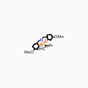 COc1ccc(CN(Cc2ccc(OC)cc2)S(=O)(=O)[C@H](C=O)C(C)C)cc1